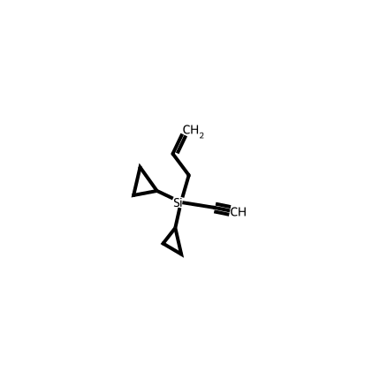 C#C[Si](CC=C)(C1CC1)C1CC1